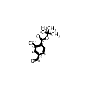 CC(C)(C)OC(=O)c1ccc(C=O)cc1Cl